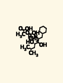 CC(=O)O.CC(=O)O.CC(C)C[C@H](O)[C@H](O)[C@@H](N)CC1CCCCC1